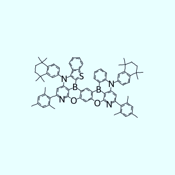 Cc1cc(C)c(-c2cc3c4c(n2)Oc2cc5c(cc2B4c2ccccc2N3c2ccc3c(c2)C(C)(C)CCC3(C)C)B2c3sc4ccccc4c3N(c3ccc4c(c3)C(C)(C)CCC4(C)C)c3cc(-c4c(C)cc(C)cc4C)nc(c32)O5)c(C)c1